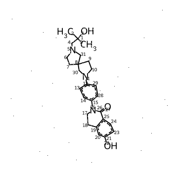 CC(C)(O)CN1CCC2(CCN(c3ccc(N4CCc5cc(O)ccc5C4=O)cc3)C2)C1